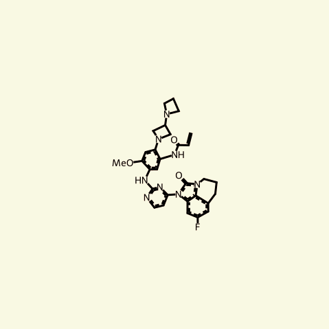 C=CC(=O)Nc1cc(Nc2nccc(-n3c(=O)n4c5c(cc(F)cc53)CCC4)n2)c(OC)cc1N1CC(N2CCC2)C1